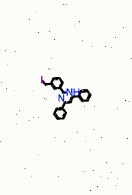 ICc1cccc(C2N=C(c3ccccc3)C=C(c3ccccc3)N2)c1